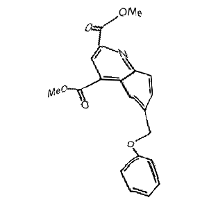 COC(=O)c1cc(C(=O)OC)c2cc(COc3ccccc3)ccc2n1